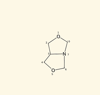 [CH]1OCC2COCN12